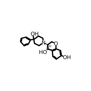 Oc1ccc2c(c1)OC[C@H](N1CCC(O)(c3ccccc3)CC1)[C@H]2O